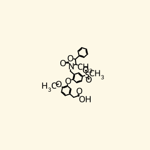 COc1ccc(CC(=O)O)cc1Oc1ccc(S(C)(=O)=O)cc1CN1C(=O)OC(c2ccccc2)C1C